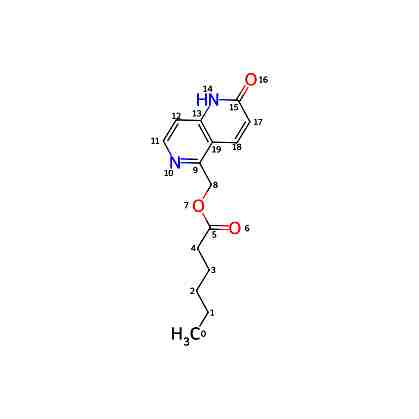 CCCCCC(=O)OCc1nccc2[nH]c(=O)ccc12